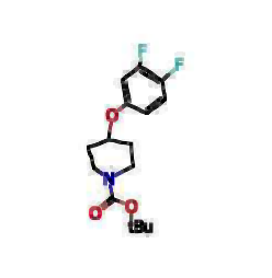 CC(C)(C)OC(=O)N1CCC(Oc2ccc(F)c(F)c2)CC1